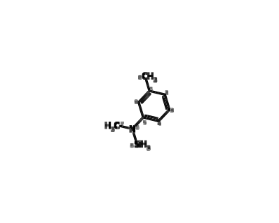 Cc1cccc(N(C)[SiH3])c1